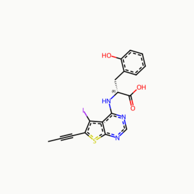 CC#Cc1sc2ncnc(N[C@H](Cc3ccccc3O)C(=O)O)c2c1I